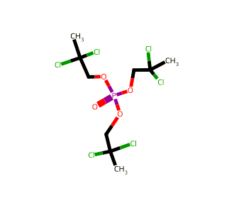 CC(Cl)(Cl)COP(=O)(OCC(C)(Cl)Cl)OCC(C)(Cl)Cl